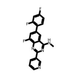 CNc1nc(-c2cccnc2)nc2c(F)cc(-c3ccc(F)cc3F)cc12